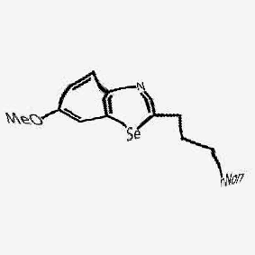 CCCCCCCCCCCCc1nc2ccc(OC)cc2[se]1